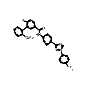 COc1ccccc1-c1cc(C(=O)Nc2ccc(-c3ncn(-c4ccc(C(F)(F)F)cc4)n3)cc2)ccc1F